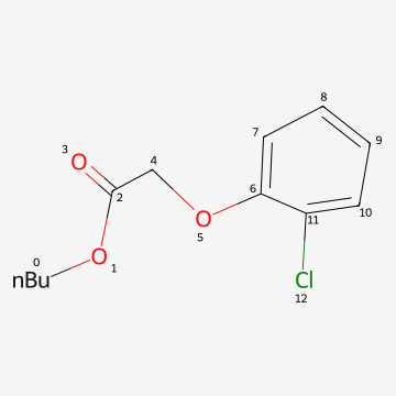 CCCCOC(=O)COc1ccccc1Cl